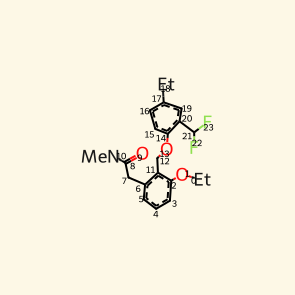 CCOc1cccc(CC(=O)NC)c1COc1ccc(CC)cc1C(F)F